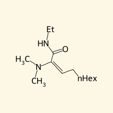 CCCCCCC/C=C(\C(=O)NCC)N(C)C